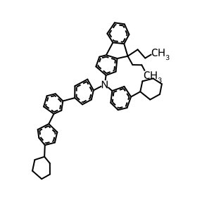 CCCC1(CCC)c2ccccc2-c2ccc(N(c3ccc(-c4cccc(-c5ccc(C6CCCCC6)cc5)c4)cc3)c3cccc(C4CCCCC4)c3)cc21